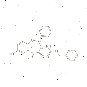 CN1C(=O)[C@@H](NC(=O)OCc2ccccc2)[C@@H](c2ccccc2)Oc2ccc(O)cc21